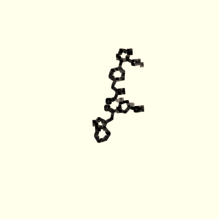 Cc1ncsc1-c1ccc(CNC(=O)[C@@H]2C[C@@H](O)CN2C(=O)Cc2cnn3ccccc23)cc1